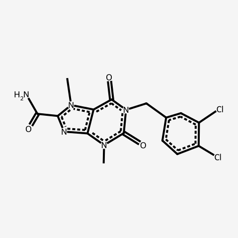 Cn1c(C(N)=O)nc2c1c(=O)n(Cc1ccc(Cl)c(Cl)c1)c(=O)n2C